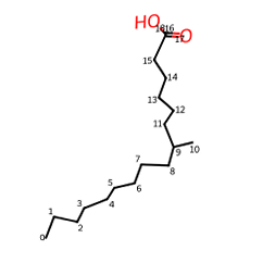 CCCCCCCCCC(C)CCCCCC(=O)O